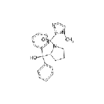 Cn1ccnc1C(=O)N1CCCC1C(O)(c1ccccc1)c1ccccc1